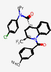 CCCN(C(=O)[C@H]1C[C@H](C)N(C(=O)c2ccc(OC)cc2)c2ccccc21)c1ccc(Cl)cc1